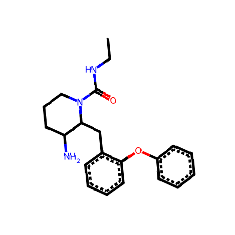 CCNC(=O)N1CCCC(N)C1Cc1ccccc1Oc1ccccc1